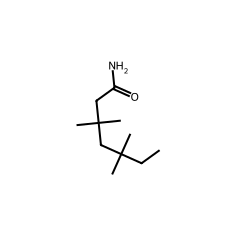 CCC(C)(C)CC(C)(C)CC(N)=O